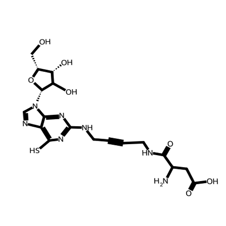 NC(CC(=O)O)C(=O)NCC#CCNc1nc(S)c2ncn([C@@H]3O[C@H](CO)[C@H](O)C3O)c2n1